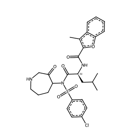 Cc1c(C(=O)N[C@@H](CC(C)C)C(=O)N(C2CCCNCC2=O)S(=O)(=O)c2ccc(Cl)cc2)oc2ccccc12